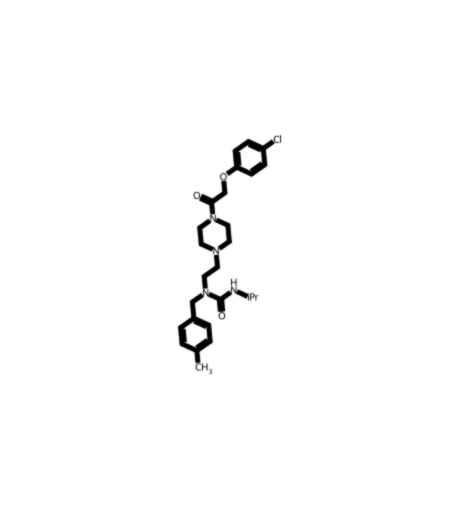 Cc1ccc(CN(CCN2CCN(C(=O)COc3ccc(Cl)cc3)CC2)C(=O)NC(C)C)cc1